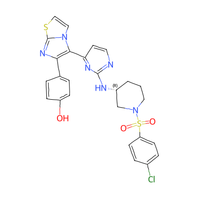 O=S(=O)(c1ccc(Cl)cc1)N1CCC[C@@H](Nc2nccc(-c3c(-c4ccc(O)cc4)nc4sccn34)n2)C1